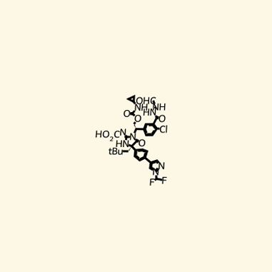 CC(C)(C)C[C@]1(c2ccc(-c3cnn(C(F)F)c3)cc2)N/C(=N\C(=O)O)N([C@H](COC(=O)NC2CC2)c2ccc(Cl)c(C(=O)NNC=O)c2)C1=O